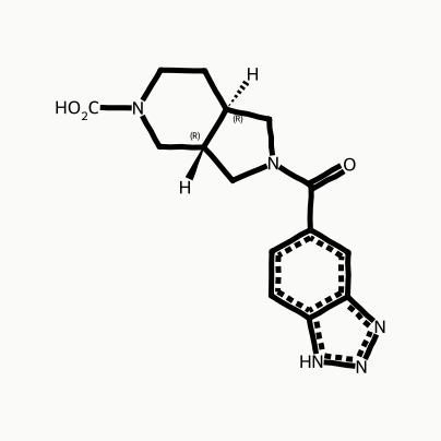 O=C(O)N1CC[C@H]2CN(C(=O)c3ccc4[nH]nnc4c3)C[C@@H]2C1